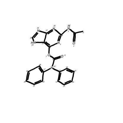 CC(=O)Nc1nc(OC(=O)N(c2ccccc2)c2ccccc2)c2[nH]cnc2n1